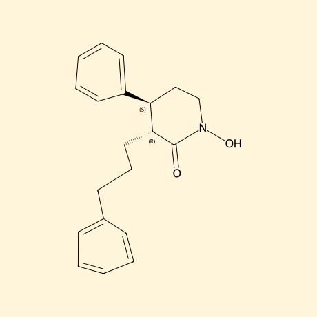 O=C1[C@H](CCCc2ccccc2)[C@@H](c2ccccc2)CCN1O